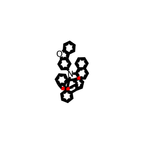 C1=CC2c3cccc4c3-c3ccccc3-c3cccc-4c3C2C=C1N(c1ccc2oc3ccccc3c2c1)c1cccc2ccccc12